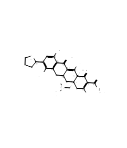 CN(C)C[C@]12CC(O)=C(C(N)=O)C(=O)[C@@]1(O)C(O)=C1C(=O)c3c(O)cc(C4CCCN4)c(F)c3CC1C2